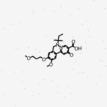 CCC(C)(C)N1Cc2cc(OCCCOC)c(OC)cc2-c2cc(=O)c(C(=O)O)cn21